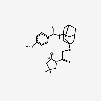 COc1ccc(C(=O)NC23CC4CC(CC(NCC(=O)N5CC(F)(F)C[C@H]5C#N)(C4)C2)C3)cc1